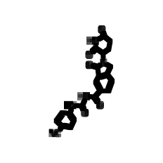 N#Cc1ccc(NC(=O)NC(=O)c2ccc3c(c2)C(=O)N(C2CCC(=O)NC2=O)C3)cc1